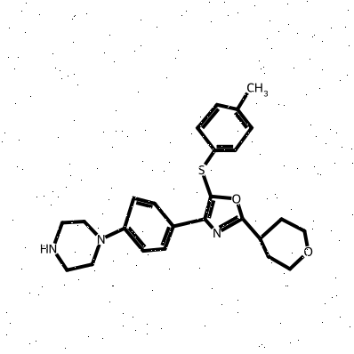 Cc1ccc(Sc2oc(C3CCOCC3)nc2-c2ccc(N3CCNCC3)cc2)cc1